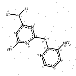 CCCc1cc(N(CC)CC)nc(Nc2ncccc2[N+](=O)[O-])n1